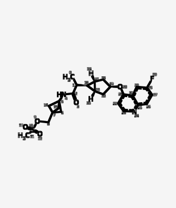 CC(C(=O)NC12CC(COS(C)(=O)=O)(C1)C2)[C@H]1[C@@H]2C[C@@H](Oc3ccnc4ccc(F)cc34)C[C@@H]21